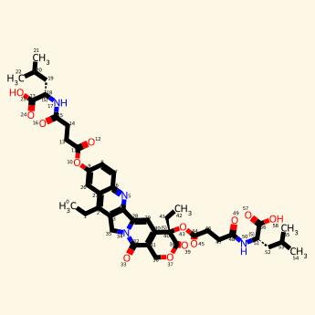 CCc1c2c(nc3ccc(OC(=O)CCC(=O)N[C@@H](CC(C)C)C(=O)O)cc13)-c1cc3c(c(=O)n1C2)COC(=O)[C@@]3(CC)OC(=O)CCC(=O)N[C@@H](CC(C)C)C(=O)O